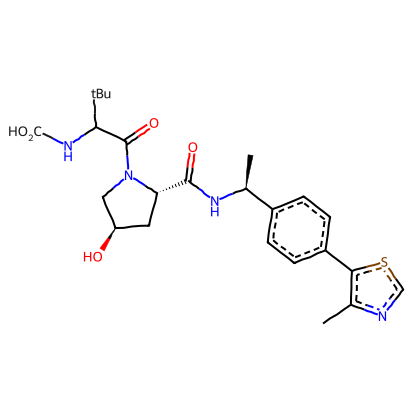 Cc1ncsc1-c1ccc([C@H](C)NC(=O)[C@@H]2C[C@@H](O)CN2C(=O)C(NC(=O)O)C(C)(C)C)cc1